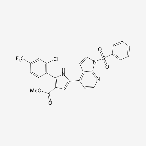 COC(=O)c1cc(-c2ccnc3c2ccn3S(=O)(=O)c2ccccc2)[nH]c1-c1ccc(C(F)(F)F)cc1Cl